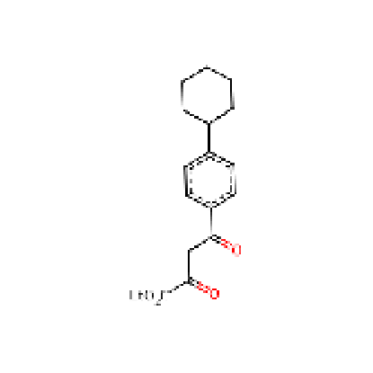 CCOC(=O)C(=O)CC(=O)c1ccc(C2CCCCC2)cc1